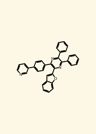 c1ccc(-c2nc(-c3ccc(-c4cccnc4)cc3)c(-c3cc4ccccc4o3)nc2-c2ccccc2)cc1